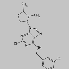 CC1CSC(n2cnc3c(NCc4cccc(Cl)c4)nc(Cl)nc32)C1C